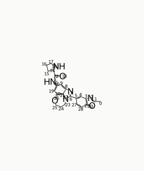 Cc1nc2cc(-c3nc4cc(NC(=O)C5CCCN5)cc5c4n3CCCO5)ccc2o1